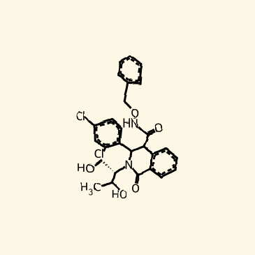 CC(O)[C@H](CO)N1C(=O)c2ccccc2C(C(=O)NOCc2ccccc2)C1c1ccc(Cl)cc1Cl